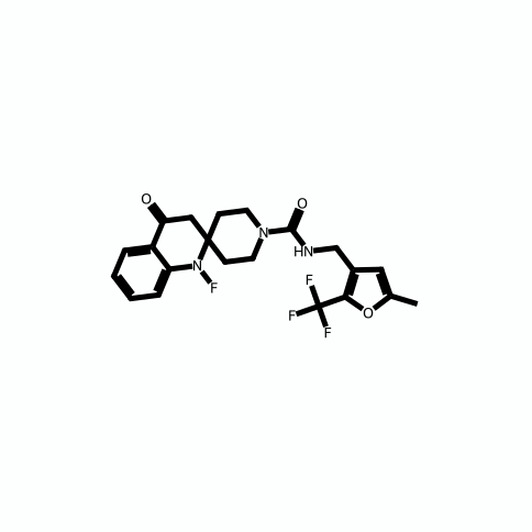 Cc1cc(CNC(=O)N2CCC3(CC2)CC(=O)c2ccccc2N3F)c(C(F)(F)F)o1